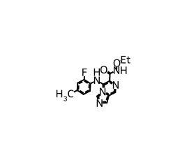 CCONC(=O)c1ncc2cncn2c1Nc1ccc(C)cc1F